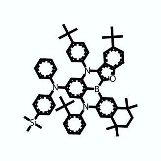 CC(C)(C)c1ccc(N2c3cc(N(c4ccccc4)c4ccc([Si](C)(C)C)cc4)cc4c3B(c3cc5c(cc3N4c3ccccc3C(C)(C)C)C(C)(C)CCC5(C)C)c3oc4ccc(C(C)(C)C)cc4c32)cc1